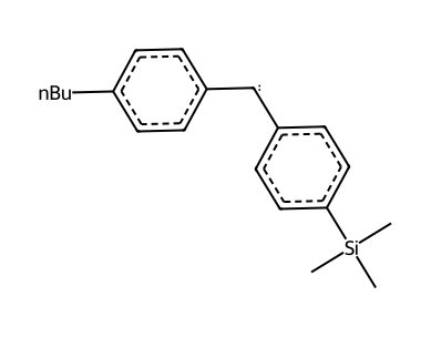 CCCCc1ccc([C]c2ccc([Si](C)(C)C)cc2)cc1